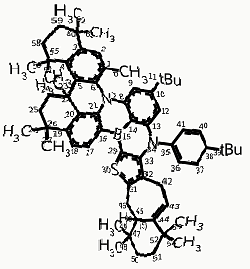 Cc1cc2c(c3c1N1c4cc(C(C)(C)C)cc5c4B(c4ccc6c(c41)C3(C)CCC6(C)C)c1sc3c(c1N5C1=CCC(C(C)(C)C)C=C1)CC=C1[C@@H](C3)C(C)(C)CCC1(C)C)C(C)(C)CCC2(C)C